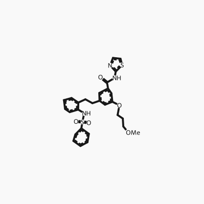 COCCCOc1cc(CCc2ccccc2NS(=O)(=O)c2ccccc2)cc(C(=O)Nc2nccs2)c1